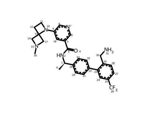 C[C@@H](NC(=O)c1cncc(N2CCC23CN(C)C3)c1)c1ccc(-c2cc(C(F)(F)F)ccc2CN)cc1